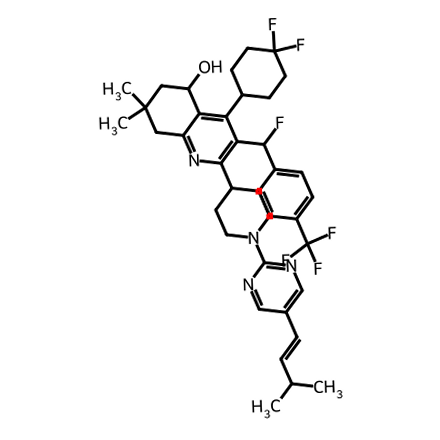 CC(C)/C=C/c1cnc(N2CCC(c3nc4c(c(C5CCC(F)(F)CC5)c3C(F)c3ccc(C(F)(F)F)cc3)C(O)CC(C)(C)C4)CC2)nc1